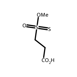 COS(=O)(=S)CCC(=O)O